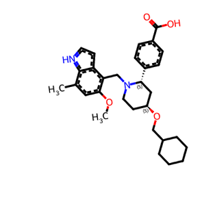 COc1cc(C)c2[nH]ccc2c1CN1CC[C@H](OCC2CCCCC2)C[C@H]1c1ccc(C(=O)O)cc1